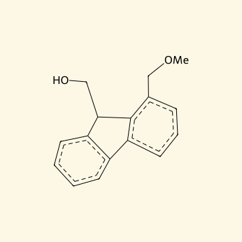 COCc1cccc2c1C(CO)c1ccccc1-2